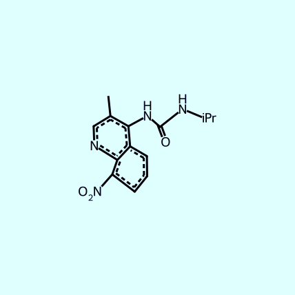 Cc1cnc2c([N+](=O)[O-])cccc2c1NC(=O)NC(C)C